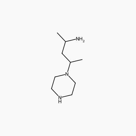 CC(N)CC(C)N1CCNCC1